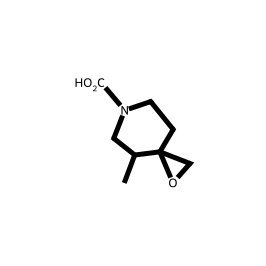 CC1CN(C(=O)O)CCC12CO2